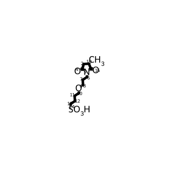 CC1CC(=O)N(CCCOCCCCS(=O)(=O)O)C1=O